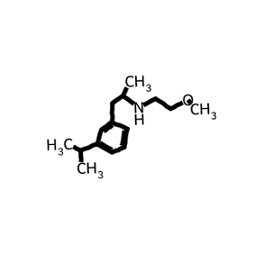 COCCNC(C)Cc1cccc(C(C)C)c1